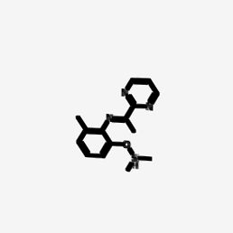 CC(=Nc1c(C)cccc1O[SiH](C)C)c1ncccn1